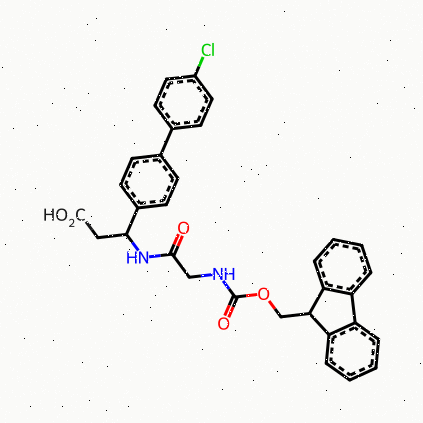 O=C(O)CC(NC(=O)CNC(=O)OCC1c2ccccc2-c2ccccc21)c1ccc(-c2ccc(Cl)cc2)cc1